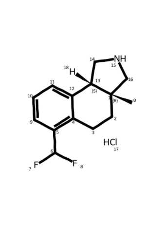 C[C@@]12CCc3c(C(F)F)cccc3[C@@H]1CNC2.Cl